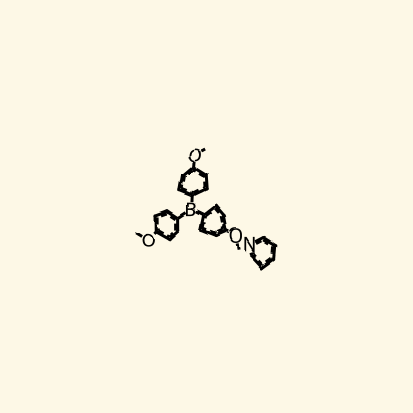 COc1ccc(B(c2ccc(OC)cc2)c2ccc(OC)cc2)cc1.c1ccncc1